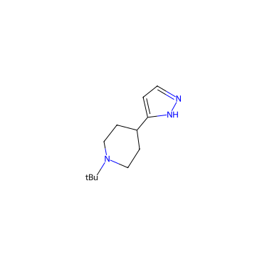 CC(C)(C)N1CCC(c2ccn[nH]2)CC1